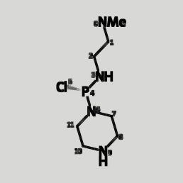 CNCCN[P@@](Cl)N1CCNCC1